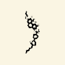 CCCCCC1=COC(C2CCC(C(F)(F)Oc3cc4c(c(F)c3F)-c3c(cc(OCCC)c(F)c3F)CC4)CC2)CC1